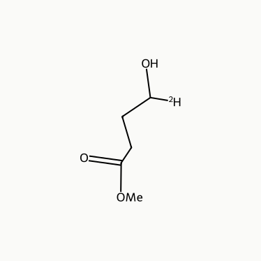 [2H]C(O)CCC(=O)OC